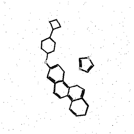 C1=CC2=c3ccc4c(c3CC=C2CC1)CC=C(OC1CCC(C2CCC2)CC1)C=4.c1cscn1